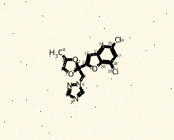 CC1COC(Cn2cncn2)(c2cc3cc(Cl)cc(Cl)c3o2)O1